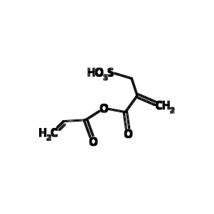 C=CC(=O)OC(=O)C(=C)CS(=O)(=O)O